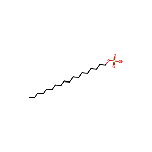 CCCCCCCC/C=C/CCCCCCCCOS(=O)(=O)O